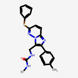 CCNC(=O)NCc1c(-c2ccc(C)cc2)nc2ccc(Sc3ccccc3)nn12